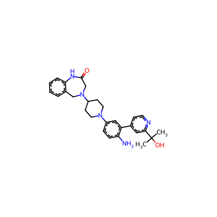 CC(C)(O)c1cc(-c2cc(N3CCC(N4CC(=O)Nc5ccccc5C4)CC3)ccc2N)ccn1